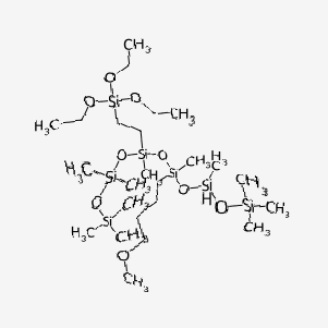 CCO[Si](CC[Si](C)(O[Si](C)(C)O[Si](C)(C)C)O[Si](C)(CCCCOC)O[SiH](C)O[Si](C)(C)C)(OCC)OCC